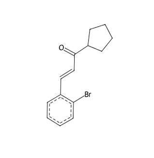 O=C(/C=C/c1ccccc1Br)C1CCCC1